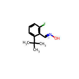 CC(C)(C)c1cccc(F)c1/C=N/O